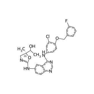 CC(O)[C@]1(C)CN=C(Nc2ccc3ncnc(Nc4ccc(OCc5cccc(F)c5)c(Cl)c4)c3c2)O1